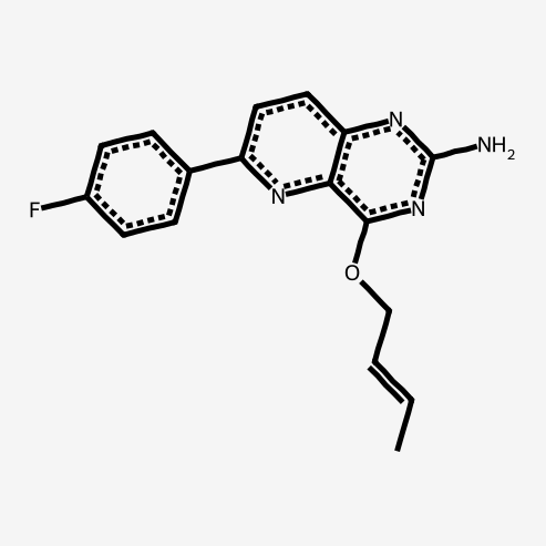 CC=CCOc1nc(N)nc2ccc(-c3ccc(F)cc3)nc12